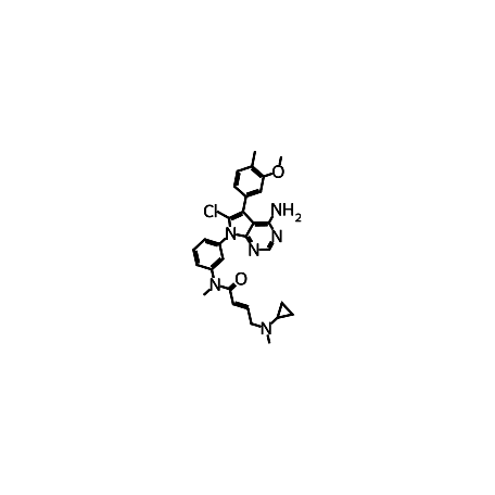 COc1cc(-c2c(Cl)n(-c3cccc(N(C)C(=O)C=CCN(C)C4CC4)c3)c3ncnc(N)c23)ccc1C